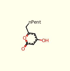 CCCCCCc1cc(O)cc(=O)o1